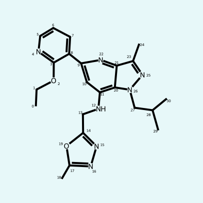 CCOc1ncccc1-c1cc(NCc2nnc(C)o2)c2c(n1)c(C)nn2CC(C)C